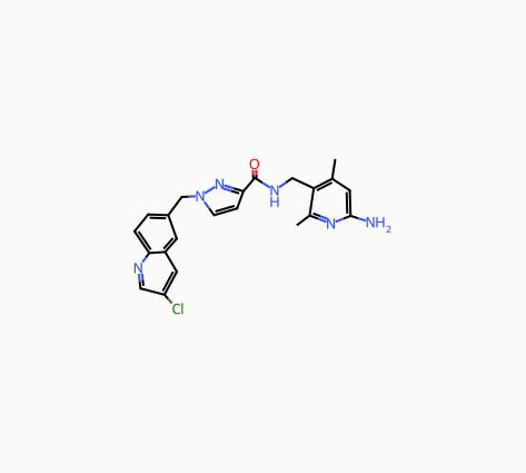 Cc1cc(N)nc(C)c1CNC(=O)c1ccn(Cc2ccc3ncc(Cl)cc3c2)n1